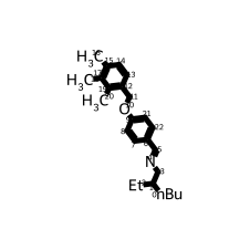 CCCCC(CC)C/N=C/c1ccc(OCc2ccc(C)c(C)c2C)cc1